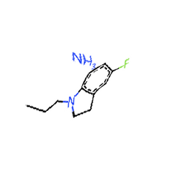 CCCN1CCc2cc(F)ccc21.N